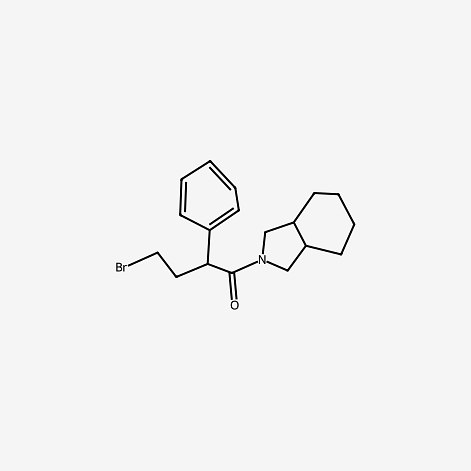 O=C(C(CCBr)c1ccccc1)N1CC2CCCCC2C1